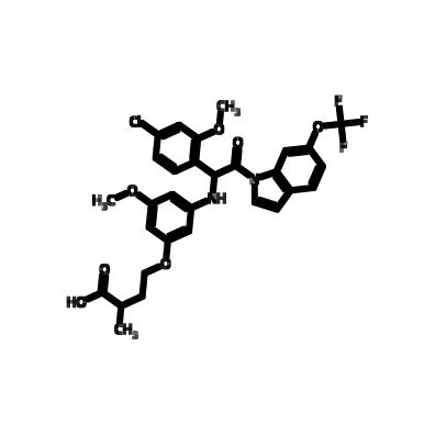 COc1cc(NC(C(=O)n2ccc3ccc(OC(F)(F)F)cc32)c2ccc(Cl)cc2OC)cc(OCCC(C)C(=O)O)c1